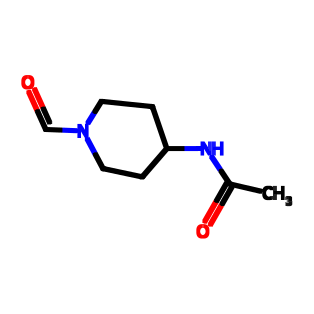 CC(=O)NC1CCN(C=O)CC1